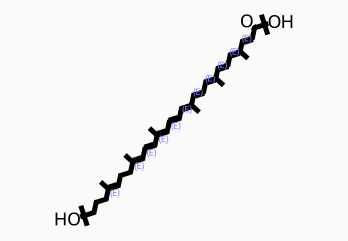 CC(/C=C/C=C(C)/C=C/C=C(C)/C=C/C(=O)C(C)(C)O)=C\C=C\C=C(C)\C=C\C=C(/C)CC/C=C(\C)CCCC(C)(C)O